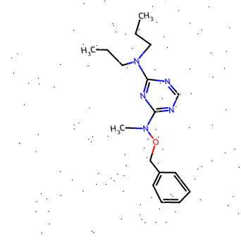 CCCN(CCC)c1ncnc(N(C)OCc2ccccc2)n1